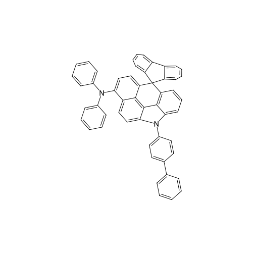 c1ccc(-c2ccc(-n3c4cccc5c4c4c6c(ccc(N(c7ccccc7)c7ccccc7)c6ccc43)C53c4ccccc4-c4ccccc43)cc2)cc1